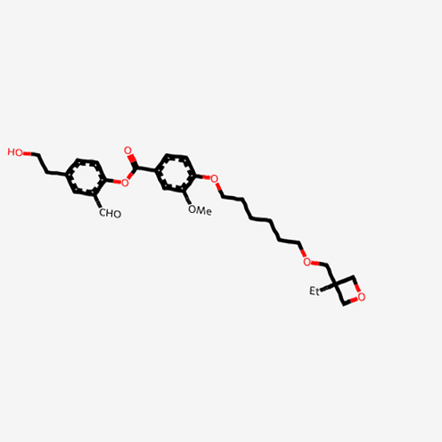 CCC1(COCCCCCCOc2ccc(C(=O)Oc3ccc(CCO)cc3C=O)cc2OC)COC1